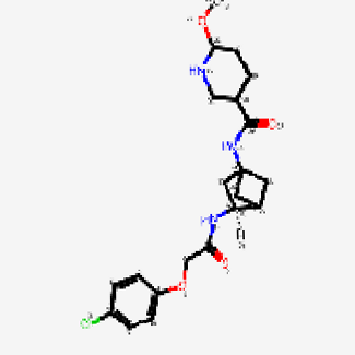 O=C(COc1ccc(Cl)cc1)N[C@H]1CC2(NC(=O)C3CCC(OC(F)(F)F)NC3)CC1C2